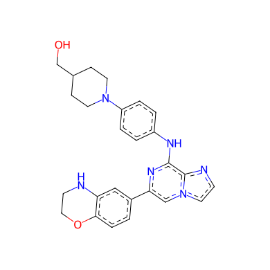 OCC1CCN(c2ccc(Nc3nc(-c4ccc5c(c4)NCCO5)cn4ccnc34)cc2)CC1